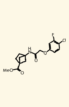 COC(=O)C12CCC(NC(=O)COc3ccc(Cl)c(F)c3)(C1)C2